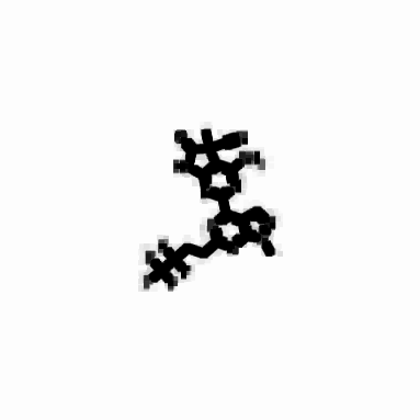 Cn1ncc2c(-c3nc(N)c4c(n3)NC(=O)C4(C)C#N)nc(CCC(F)(F)C(F)(F)F)nc21